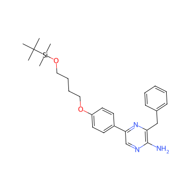 CC(C)(C)[Si](C)(C)OCCCCOc1ccc(-c2cnc(N)c(Cc3ccccc3)n2)cc1